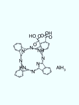 O=S(=O)(O)c1ccc2c3nc4nc(nc5[nH]c(nc6nc(nc([nH]3)c2c1S(=O)(=O)O)-c1ccccc1-6)c1ccccc51)-c1ccccc1-4.[AlH3]